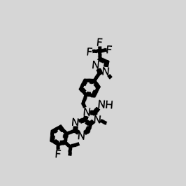 CC(C)c1c(F)cccc1-c1ncc2c(n1)n(Cc1ccc(-c3nc(C(F)(F)F)cn3C)cc1)c(=N)n2C